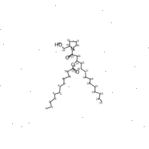 CCCCCCCCCCCC(=O)OC(CCCCCCCCCCC)CC(=O)N1CCCC1CO